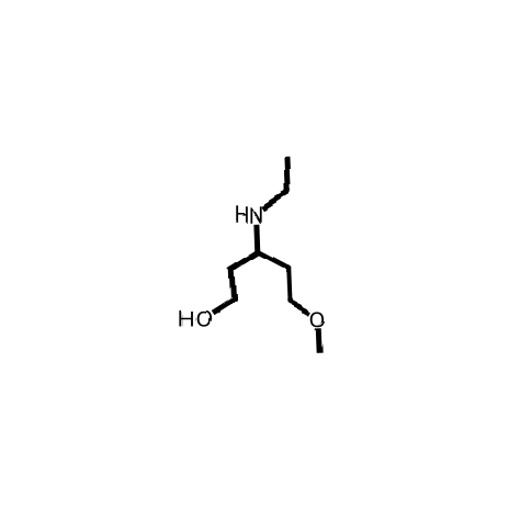 CCNC(CCO)CCOC